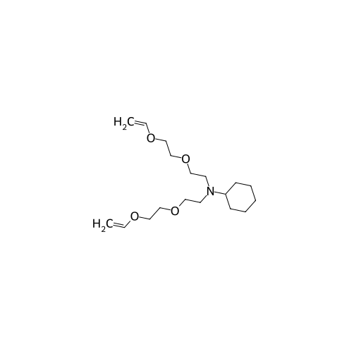 C=COCCOCCN(CCOCCOC=C)C1CCCCC1